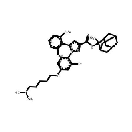 COc1cccc(OC)c1-c1cc(C(=O)NC2(C(=O)O)C3CC4CC(C3)CC2C4)nn1-c1ccc(NCCCCCN(C)C)cc1C(C)C